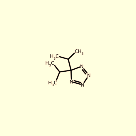 CC(C)C1(C(C)C)N=NN=N1